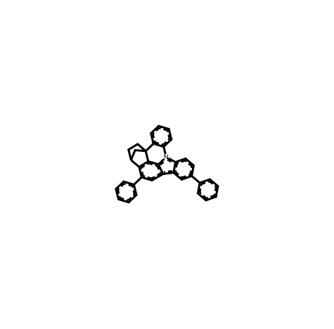 c1ccc(-c2ccc3c(c2)c2cc(-c4ccccc4)c4c5c2n3-c2ccccc2C52CCC4C2)cc1